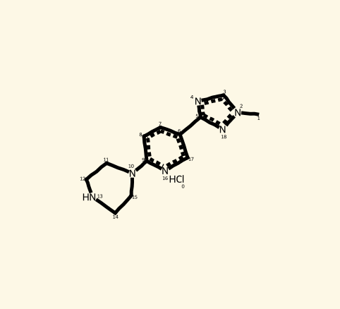 Cl.Cn1cnc(-c2ccc(N3CCNCC3)nc2)n1